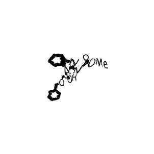 COC(=O)Nc1nc2ccccc2n1[S+]([O-])COCc1ccccc1